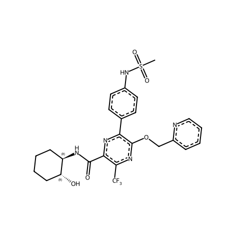 CS(=O)(=O)Nc1ccc(-c2nc(C(=O)N[C@@H]3CCCC[C@H]3O)c(C(F)(F)F)nc2OCc2ccccn2)cc1